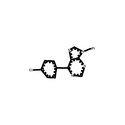 CCc1ccc(-c2ncnc3c2ncn3C(C)C)cc1